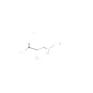 CNC[C@H](N)C(=O)O.Cl